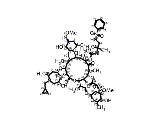 CO/N=C1\C[C@@H](C)O[C@@H](O[C@@H]2[C@@H](C)[C@H](O[C@H]3CC(C)N(CC4CC4)C[C@H](C)O3)[C@@H](C)C(=O)O[C@H](C(C)CO[C@@H]3O[C@H](C)[C@@H](O)[C@@H](OC)[C@H]3OC)[C@H](C)[C@@H](OC(=O)CC(C)C)[C@@H](C)C(=O)[C@@](C)(OC(=O)NC(C)(C)CNS(=O)(=O)c3ccccc3)C[C@@H]2C)[C@@H]1O